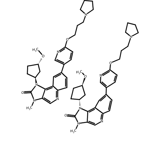 CO[C@@H]1CC[C@@H](n2c(=O)n(C)c3cnc4ccc(-c5ccc(OCCCN6CCCC6)nc5)cc4c32)C1.CO[C@H]1CC[C@H](n2c(=O)n(C)c3cnc4ccc(-c5ccc(OCCCN6CCCC6)nc5)cc4c32)C1